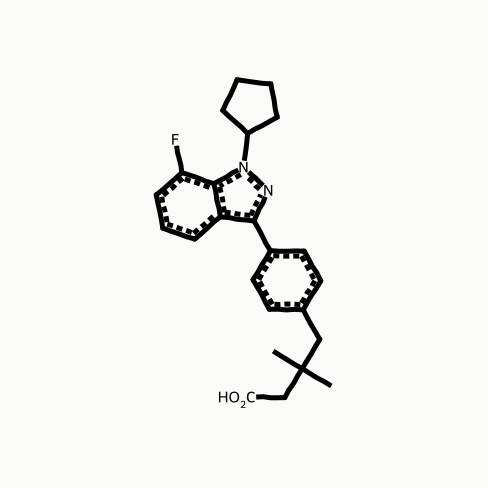 CC(C)(CC(=O)O)Cc1ccc(-c2nn(C3CCCC3)c3c(F)cccc23)cc1